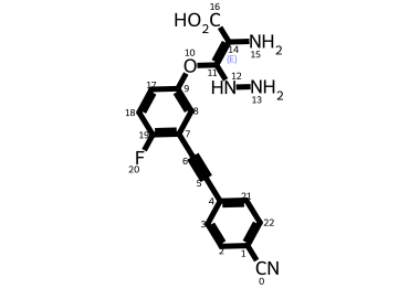 N#Cc1ccc(C#Cc2cc(O/C(NN)=C(/N)C(=O)O)ccc2F)cc1